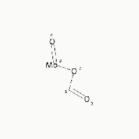 O=C[O][Mo]=[O]